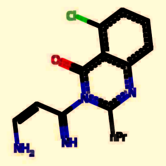 CCCc1nc2cccc(Cl)c2c(=O)n1C(=N)/C=C\N